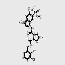 CCOP(=O)(OCC)c1cc2c(cc1F)c(C(C)=O)cn2CC(=O)N1C[C@H](F)C[C@H]1C(=O)NCc1cccc(Cl)c1F